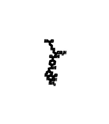 CCC(=O)CCSSC[C@H](NC(=O)c1ccc(NCc2cnc3nc(N)[nH]c(=O)c3n2)cc1)C(=O)O